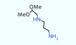 COC(CNCCCN)OC